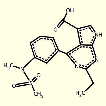 CCc1nc(-c2cccc(N(C)S(C)(=O)=O)c2)c2c(C(=O)O)c[nH]c2n1